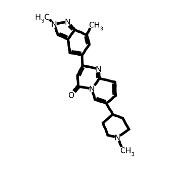 Cc1cc(-c2cc(=O)n3cc(C4CCN(C)CC4)ccc3n2)cc2cn(C)nc12